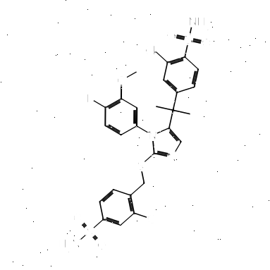 COc1cc(-n2c(C(C)(C)c3ccc(S(N)(=O)=O)c(Cl)c3)cnc2SCc2ccc(S(N)(=O)=O)cc2Cl)ccc1F